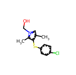 Cc1cn(CO)c(C)c1Sc1ccc(Cl)cc1